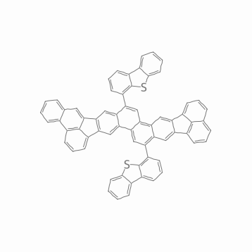 c1cc2c3c(cccc3c1)-c1cc3c(cc1-2)c(-c1cccc2c1sc1ccccc12)cc1c2cc4c(cc2c(-c2cccc5c2sc2ccccc25)cc31)-c1cc2ccccc2c2cccc-4c12